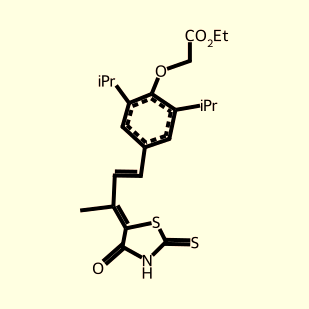 CCOC(=O)COc1c(C(C)C)cc(C=CC(C)=C2SC(=S)NC2=O)cc1C(C)C